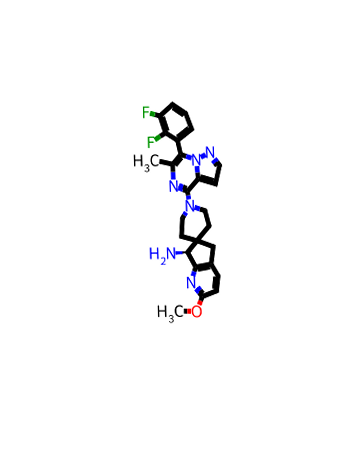 COc1ccc2c(n1)[C@@H](N)C1(CCN(c3nc(C)c(-c4cccc(F)c4F)n4nccc34)CC1)C2